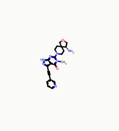 Cn1c(N2CCC3(CC2)COC[C@H]3N)nc2[nH]nc(C#Cc3cccnc3)c2c1=O